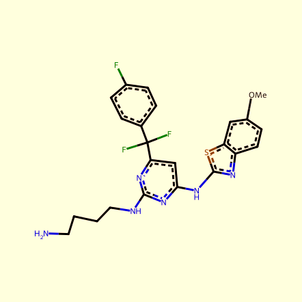 COc1ccc2nc(Nc3cc(C(F)(F)c4ccc(F)cc4)nc(NCCCCN)n3)sc2c1